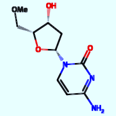 COC[C@H]1O[C@@H](n2ccc(N)nc2=O)C[C@H]1O